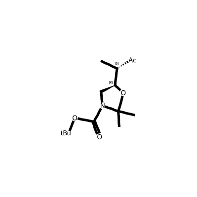 CC(=O)[C@@H](C)[C@@H]1CN(C(=O)OC(C)(C)C)C(C)(C)O1